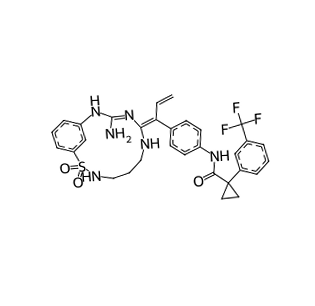 C=C/C(=C1\N=C(/N)Nc2cccc(c2)S(=O)(=O)NCCCN1)c1ccc(NC(=O)C2(c3cccc(C(F)(F)F)c3)CC2)cc1